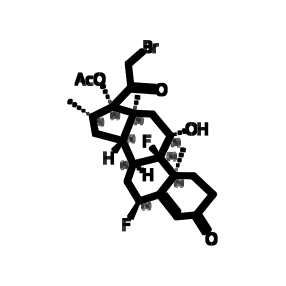 CC(=O)O[C@@]1(C(=O)CBr)[C@@H](C)C[C@H]2[C@@H]3C[C@H](F)C4=CC(=O)CC[C@]4(C)[C@@]3(F)[C@@H](O)C[C@@]21C